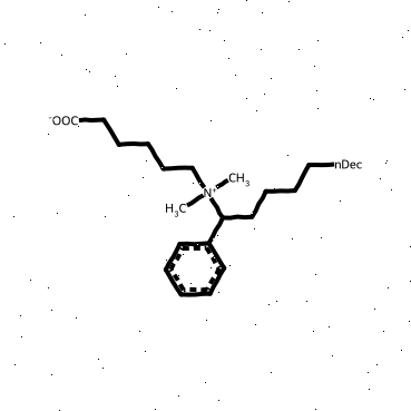 CCCCCCCCCCCCCCC(c1ccccc1)[N+](C)(C)CCCCCC(=O)[O-]